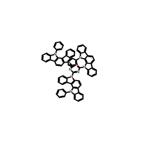 c1ccc(-n2c3ccccc3c3ccc4c(c5ccccc5n4-c4nc(-n5c6ccccc6c6c5ccc5c7ccccc7n(-c7ccccc7)c56)nc(-n5c6ccccc6c6ccc7c8ccccc8n(-c8ccccc8)c7c65)n4)c32)cc1